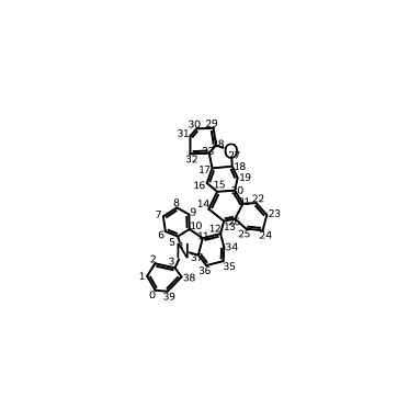 c1ccc(-n2c3ccccc3c3c(-c4cc5cc6c(cc5c5ccccc45)oc4ccccc46)cccc32)cc1